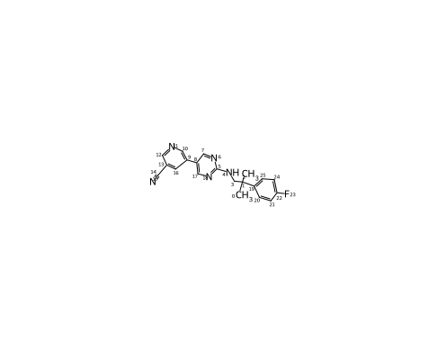 CC(C)(CNc1ncc(-c2cncc(C#N)c2)cn1)c1ccc(F)cc1